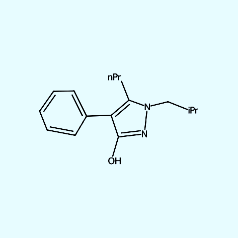 CCCc1c(-c2ccccc2)c(O)nn1CC(C)C